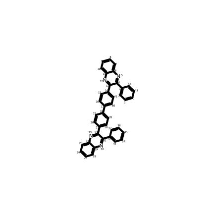 c1ccc(-c2nc3ccccc3nc2-c2ccc(-c3ccc(-c4nc5ccccc5nc4-c4ccccc4)cc3)cc2)cc1